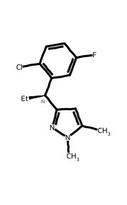 CC[C@H](c1cc(C)n(C)n1)c1cc(F)ccc1Cl